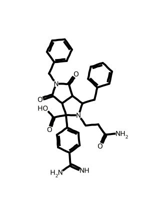 N=C(N)c1ccc(C2(C(=O)O)C3C(=O)N(Cc4ccccc4)C(=O)C3C(Cc3ccccc3)N2CCC(N)=O)cc1